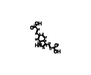 O=C(O)C=Cc1ccc2c(/C=C/C(=O)O)c[nH]c2c1